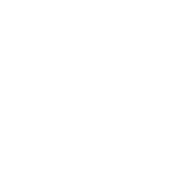 SCC[CH]CCCOCC1CO1